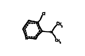 CN(C)c1cnccc1Cl